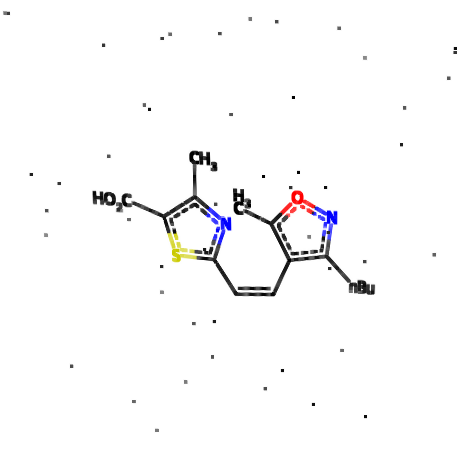 CCCCc1noc(C)c1/C=C\c1nc(C)c(C(=O)O)s1